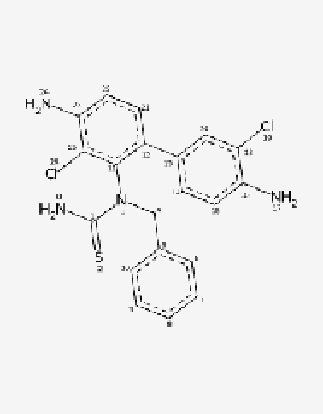 NC(=S)N(Cc1ccccc1)c1c(-c2ccc(N)c(Cl)c2)ccc(N)c1Cl